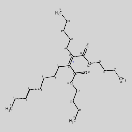 CCCCCCCC/C(C(=O)OCCCC)=C(\CCCCC)C(=O)OCCCC